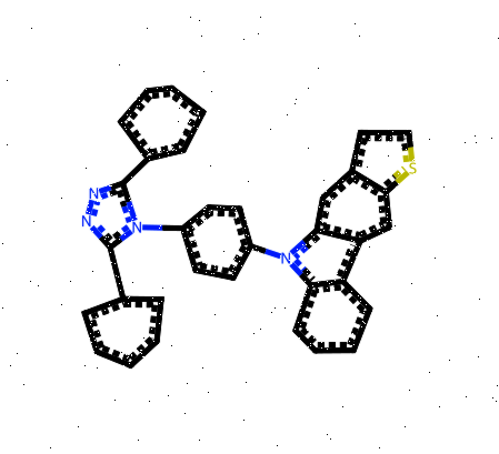 c1ccc(-c2nnc(-c3ccccc3)n2-c2ccc(-n3c4ccccc4c4cc5sccc5cc43)cc2)cc1